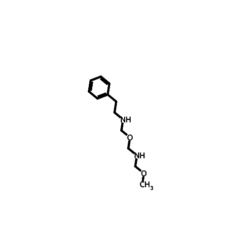 COCNCOCNCCc1ccccc1